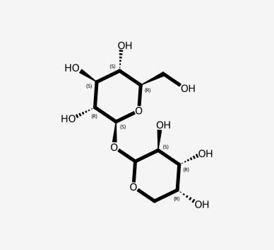 OC[C@H]1O[C@@H](OC2OC[C@@H](O)[C@@H](O)[C@@H]2O)[C@H](O)[C@@H](O)[C@@H]1O